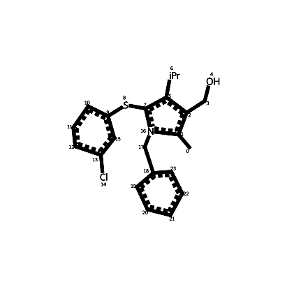 Cc1c(CO)c(C(C)C)c(Sc2cccc(Cl)c2)n1Cc1ccccc1